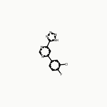 Fc1ccc(-c2cc(-c3nnn[nH]3)ncn2)cc1Cl